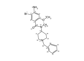 COc1cc(N)c(Br)cc1C(=O)N(C)C1CCN(Cc2ccccc2)CC1